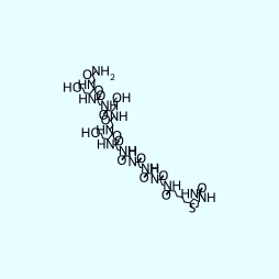 NC(=O)CNC(=O)C(CCO)NC(=O)CNC(=O)C(CCO)NC(=O)CNC(=O)C(CCO)NC(=O)CNC(=O)CNC(=O)CNC(=O)CNC(=O)CNC(=O)CCCCC1SCC2NC(=O)NC21